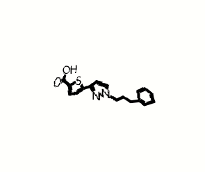 O=C(O)c1ccc(-c2ccn(CCCc3ccccc3)n2)s1